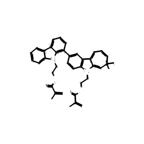 C=C(C)C(=O)OCCn1c2c(c3cc(-c4cccc5c6ccccc6n(CCOC(=O)C(=C)C)c45)ccc31)=CC=CC(C)(I)C=2